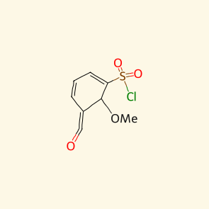 COC1C(=C=O)C=CC=C1S(=O)(=O)Cl